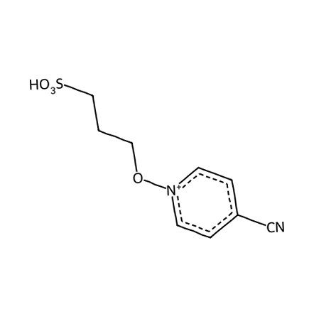 N#Cc1cc[n+](OCCCS(=O)(=O)O)cc1